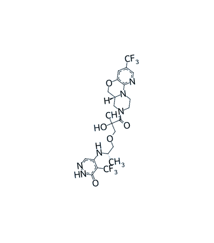 C[C@@H](COCC(C)(O)C(=O)N1CCN2c3ncc(C(F)(F)F)cc3OC[C@H]2C1)Nc1cn[nH]c(=O)c1C(F)(F)F